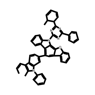 C/C=C\c1c(C)n(-c2ccccc2)c2cc(-c3cc4c5ccccc5oc4c4c3c3ccccc3n4-c3nc(-c4ccccc4)nc(C4C=CC=CC4C)n3)ccc12